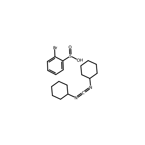 C(=NC1CCCCC1)=NC1CCCCC1.O=S(O)c1ccccc1Br